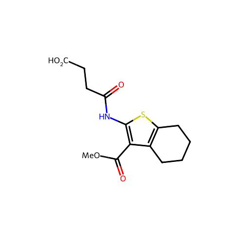 COC(=O)c1c(NC(=O)CCC(=O)O)sc2c1CCCC2